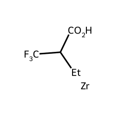 CCC(C(=O)O)C(F)(F)F.[Zr]